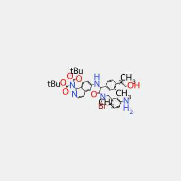 Cc1cc(C(Nc2ccc3c(N(C(=O)OC(C)(C)C)C(=O)OC(C)(C)C)nccc3c2)C(=O)N(C)Cc2cc(N)ccc2Br)ccc1[C@@H](C)CO